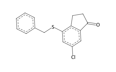 O=C1CCc2c(SCc3ccccc3)cc(Cl)cc21